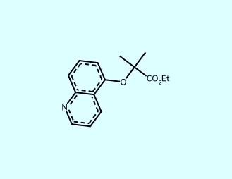 CCOC(=O)C(C)(C)Oc1cccc2ncccc12